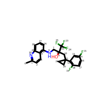 Cc1ccc2c(NCC(O)(CC3(c4cc(F)ccc4F)CC3)C(F)(F)F)cccc2n1